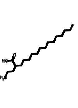 CCCCCCCCCCCCCCC(CCN)C(=O)O